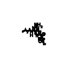 CCCCNc1nc(N)nc2c1CCN(C(=O)c1cc(C)on1)C2